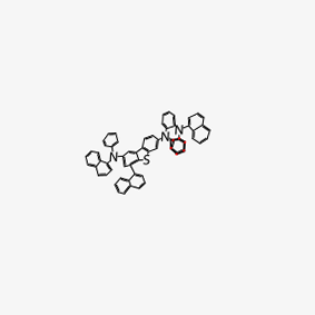 c1ccc(N(c2ccc3c(c2)sc2c(-c4cccc5ccccc45)cc(N(c4ccccc4)c4cccc5ccccc45)cc23)c2ccccc2N(c2ccccc2)c2cccc3ccccc23)cc1